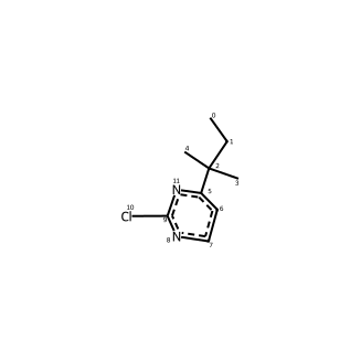 CCC(C)(C)c1ccnc(Cl)n1